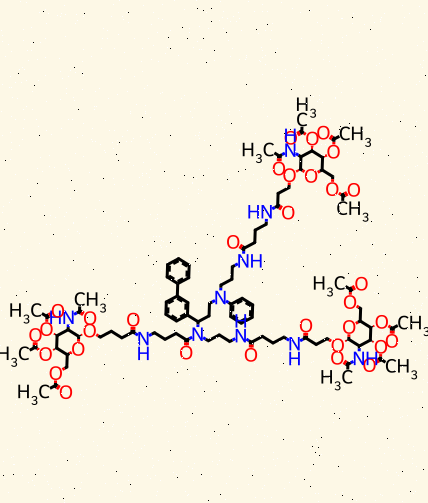 CC(=O)NC1[C@H](OCCCC(=O)NCCCC(=O)N(CCCNC(=O)CCCNC(=O)CCO[C@@H]2OC(COC(C)=O)[C@H](OC(C)=O)[C@H](OC(C)=O)C2NC(C)=O)C(CCN(CCCNC(=O)CCCNC(=O)CCO[C@@H]2OC(COC(C)=O)[C@H](OC(C)=O)[C@H](OC(C)=O)C2NC(C)=O)c2ccccc2)c2cccc(-c3ccccc3)c2)OC(COC(C)=O)[C@H](OC(C)=O)[C@@H]1OC(C)=O